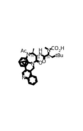 CC(=O)N1c2ccccc2N(Cc2c(C3CC3)cnc3ccccc23)C(=O)[C@@H](NC(=O)[C@H](CC(C)(C)C)N(C)C(=O)O)[C@@H]1C